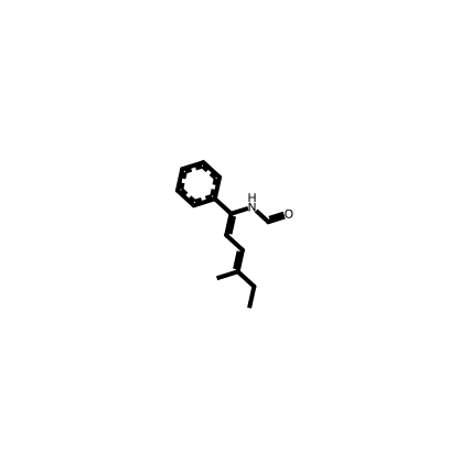 CC/C(C)=C/C=C(\NC=O)c1ccccc1